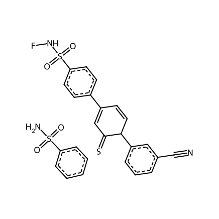 N#Cc1cccc(C2C=CC(c3ccc(S(=O)(=O)NF)cc3)=CC2=S)c1.NS(=O)(=O)c1ccccc1